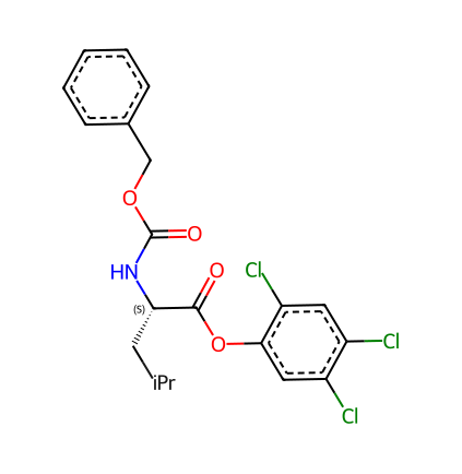 CC(C)C[C@H](NC(=O)OCc1ccccc1)C(=O)Oc1cc(Cl)c(Cl)cc1Cl